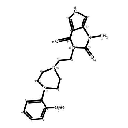 COc1ccccc1N1CCN(CCn2c(=O)c3cocc3n(C)c2=O)CC1